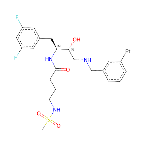 CCc1cccc(CNC[C@@H](O)[C@H](Cc2cc(F)cc(F)c2)NC(=O)CCCNS(C)(=O)=O)c1